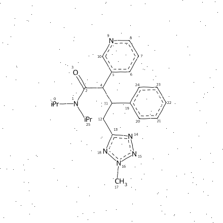 CC(C)N(C(=O)C(c1cccnc1)C(Cc1nnn(C)n1)c1ccccc1)C(C)C